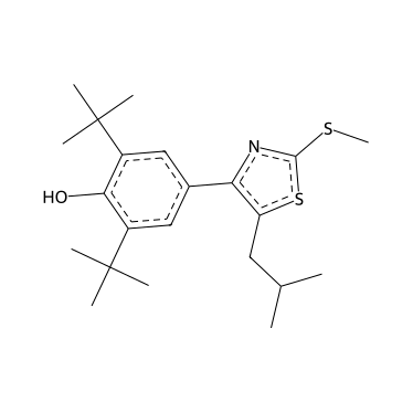 CSc1nc(-c2cc(C(C)(C)C)c(O)c(C(C)(C)C)c2)c(CC(C)C)s1